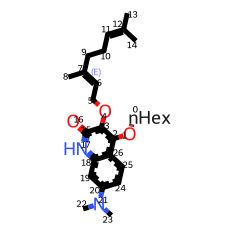 CCCCCCOc1c(OC/C=C(\C)CCC=C(C)C)c(=O)[nH]c2cc(N(C)C)ccc12